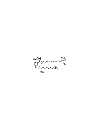 CC(C)CCCCCCCCCCOC(=O)c1ccccc1C(=O)O.CCCCCC(CO)CCC